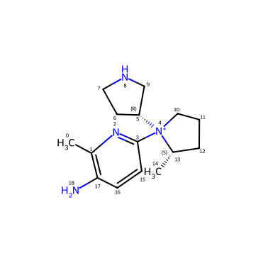 Cc1nc([N+]2([C@@H]3CCNC3)CCC[C@@H]2C)ccc1N